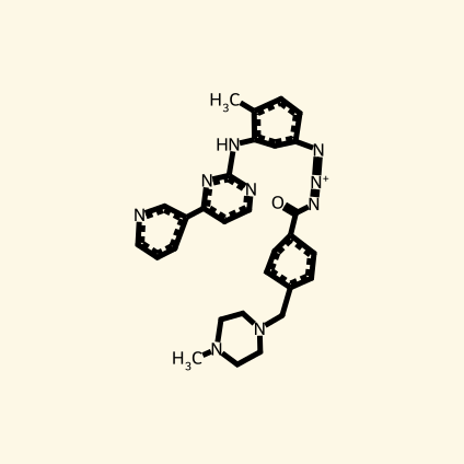 Cc1ccc(N=[N+]=NC(=O)c2ccc(CN3CCN(C)CC3)cc2)cc1Nc1nccc(-c2cccnc2)n1